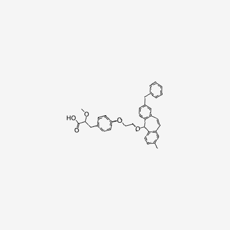 COC(Cc1ccc(OCCOC2c3ccc(C)cc3C=Cc3cc(Cc4ccccc4)ccc32)cc1)C(=O)O